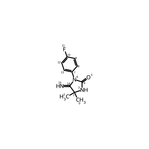 CC1(C)NC(=O)N(c2ccc(F)cc2)C1=N